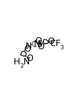 NC(=O)c1cccc(CON=C2CCN(S(=O)(=O)c3ccc(OC(F)(F)F)cc3)CC2)c1